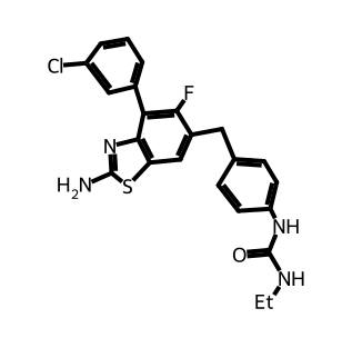 CCNC(=O)Nc1ccc(Cc2cc3sc(N)nc3c(-c3cccc(Cl)c3)c2F)cc1